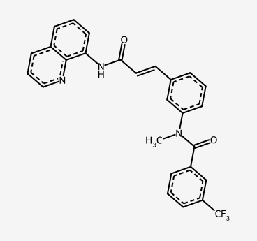 CN(C(=O)c1cccc(C(F)(F)F)c1)c1cccc(C=CC(=O)Nc2cccc3cccnc23)c1